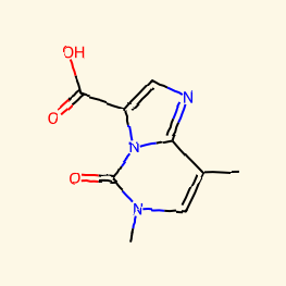 Cc1cn(C)c(=O)n2c(C(=O)O)cnc12